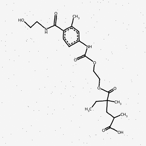 CCC(C)(CC(C)C(=O)O)C(=O)OCCOC(=O)Nc1ccc(C(=O)NCCO)c(C)c1